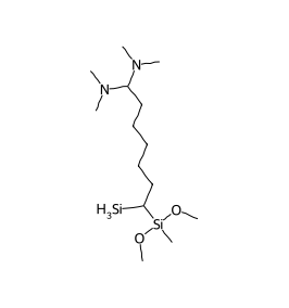 CO[Si](C)(OC)C([SiH3])CCCCCC(N(C)C)N(C)C